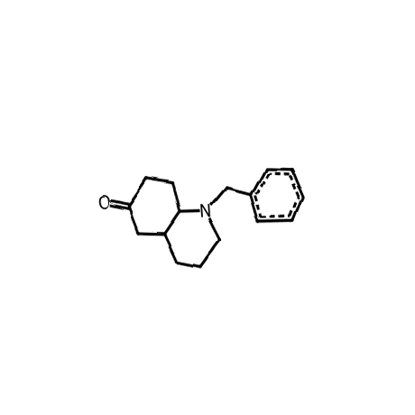 O=C1CCC2C(CCCN2Cc2ccccc2)C1